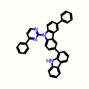 c1ccc(-c2ccc3c(c2)c2cc(-c4cccc5c4[nH]c4ccccc45)ccc2n3-c2nccc(-c3ccccc3)n2)cc1